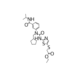 CCOC(=O)CSc1cnc(NC(=O)N(CC2CCCC2)c2cccc(C(=O)NC(C)C)c2)s1